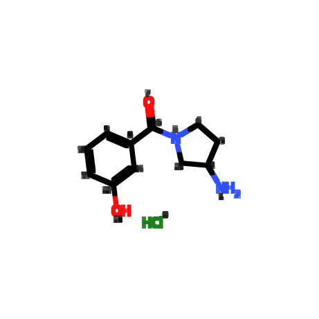 Cl.NC1CCN(C(=O)c2cccc(O)c2)C1